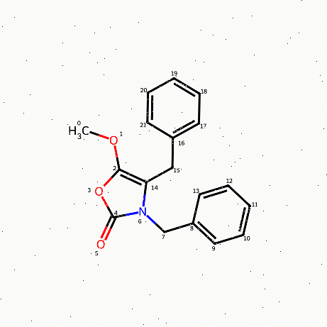 COc1oc(=O)n(Cc2ccccc2)c1Cc1ccccc1